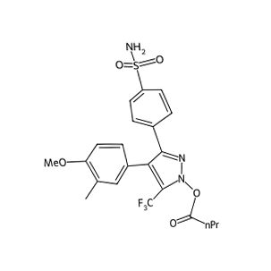 CCCC(=O)On1nc(-c2ccc(S(N)(=O)=O)cc2)c(-c2ccc(OC)c(C)c2)c1C(F)(F)F